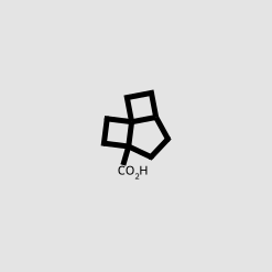 O=C(O)C12CCC3CCC31CC2